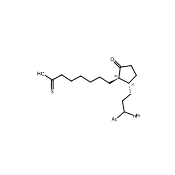 CCCC(CC[C@H]1CCC(=O)[C@@H]1CCCCCCC(O)=S)C(C)=O